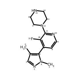 Cc1cnn(C)c1-c1ccnc(N2CCNCC2)c1F